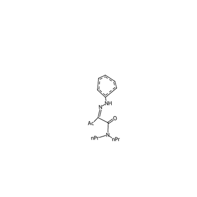 CCCN(CCC)C(=O)/C(=N\Nc1ccccc1)C(C)=O